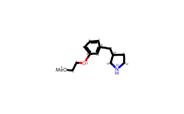 COCCOc1cccc(CC2CCNC2)c1